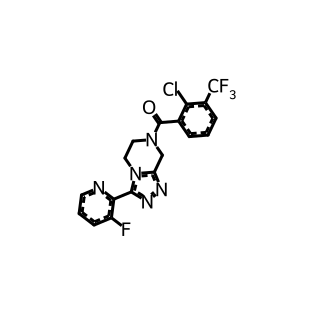 O=C(c1cccc(C(F)(F)F)c1Cl)N1CCn2c(nnc2-c2ncccc2F)C1